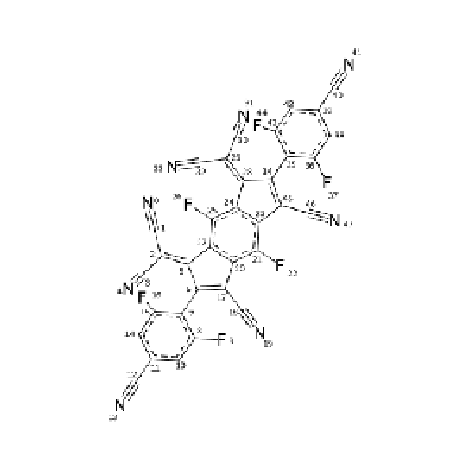 N#CC(C#N)=C1C(c2c(F)cc(C#N)cc2F)=C(C#N)c2c(F)c3c(c(F)c21)C(=C(C#N)C#N)C(c1c(F)cc(C#N)cc1F)=C3C#N